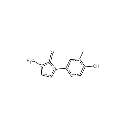 Cn1ccn(-c2ccc(O)c(F)c2)c1=O